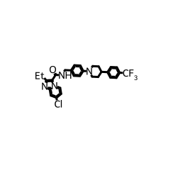 CCc1nc2cc(Cl)ccn2c1C(=O)NCc1ccc(N2CCC(c3ccc(C(F)(F)F)cc3)CC2)cc1